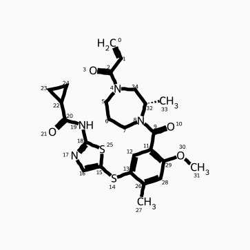 C=CC(=O)N1CCCN(C(=O)c2cc(Sc3cnc(NC(=O)C4CC4)s3)c(C)cc2OC)[C@@H](C)C1